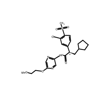 COCCOc1cnc(NC(=O)[C@H](CC2CCCC2)c2ccc(S(C)(=O)=O)c(Cl)c2)cn1